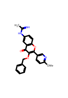 COc1ccc(-c2oc3ccc(NC(C)=N)cc3c(=O)c2OCc2ccccc2)cn1